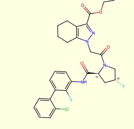 CCOC(=O)c1nn(CC(=O)N2C[C@H](F)C[C@H]2C(=O)Nc2cccc(-c3ccccc3Cl)c2F)c2c1CCCC2